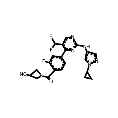 N#CC1CN(C(=O)c2ccc(-c3nc(Nc4cnn(C5CC5)c4)ncc3C(F)F)cc2F)C1